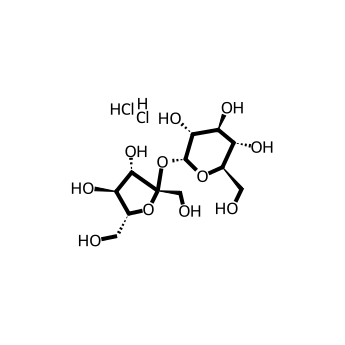 Cl.Cl.OC[C@H]1O[C@@](CO)(O[C@H]2O[C@H](CO)[C@@H](O)[C@H](O)[C@H]2O)[C@@H](O)[C@@H]1O